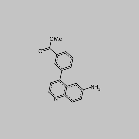 COC(=O)c1cccc(-c2ccnc3ccc(N)cc23)c1